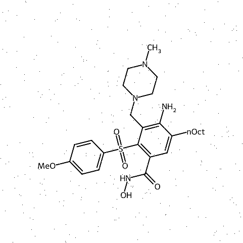 CCCCCCCCc1cc(C(=O)NO)c(S(=O)(=O)c2ccc(OC)cc2)c(CN2CCN(C)CC2)c1N